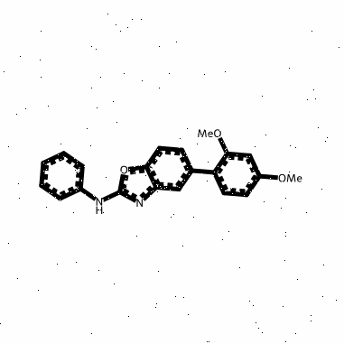 COc1ccc(-c2ccc3oc(Nc4ccccc4)nc3c2)c(OC)c1